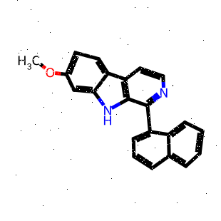 COc1ccc2c(c1)[nH]c1c(-c3cccc4ccccc34)nccc12